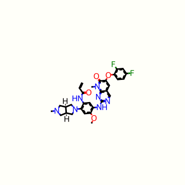 C=CC(=O)Nc1cc(Nc2ncc3cc(Oc4ccc(F)cc4F)c(=O)n(C)c3n2)c(OC)cc1N1C[C@H]2CN(C)C[C@H]2C1